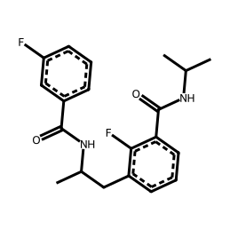 CC(C)NC(=O)c1cccc(CC(C)NC(=O)c2cccc(F)c2)c1F